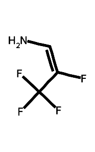 N/C=C(/F)C(F)(F)F